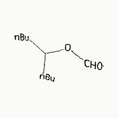 CCCCC(CCCC)O[C]=O